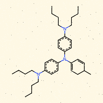 CCCCN(CCCC)c1ccc(N(C2=CCC(C)C=C2)c2ccc(N(CCCC)CCCC)cc2)cc1